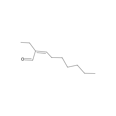 CCCCCCC=C(C=O)CC